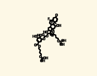 C[C@]12C=CC(=O)C=C1[C@@H](F)CC1C3C[C@@H](O)[C@](OC(=O)CCCON(O)O)(C(=O)COC(=O)Oc4cc(C(=O)OCCCCON(O)O)cc(O)c4O)[C@@]3(C)C[C@H](O)[C@@]12F